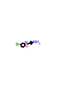 NC12CC(c3nc4cc(Br)ccc4o3)(C1)C2